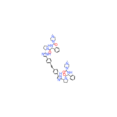 CN1CCN(C(=O)N[C@@H](C(=O)N2CCC[C@H]2c2ncc(-c3ccc(C#Cc4ccc(-c5cnc([C@@H]6CCCN6C(=O)[C@H](NC(=O)N6CCN(C)CC6)c6ccccc6)[nH]5)cc4)cc3)[nH]2)c2ccccc2)CC1